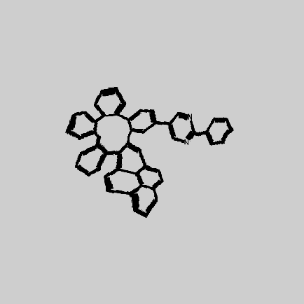 c1ccc(-c2ncc(-c3ccc4c5ccccc5c5ccccc5c5ccccc5c5c(cc6ccc7cccc8ccc5c6c78)c4c3)cn2)cc1